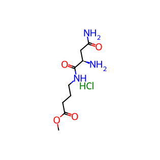 COC(=O)CCCNC(=O)[C@H](N)CC(N)=O.Cl